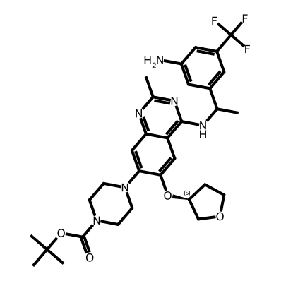 Cc1nc(NC(C)c2cc(N)cc(C(F)(F)F)c2)c2cc(O[C@H]3CCOC3)c(N3CCN(C(=O)OC(C)(C)C)CC3)cc2n1